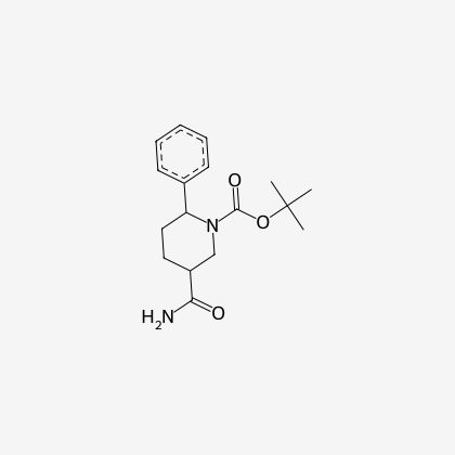 CC(C)(C)OC(=O)N1CC(C(N)=O)CCC1c1ccccc1